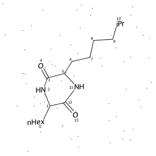 CCCCCCC1NC(=O)C(CCCCC(C)C)NC1=O